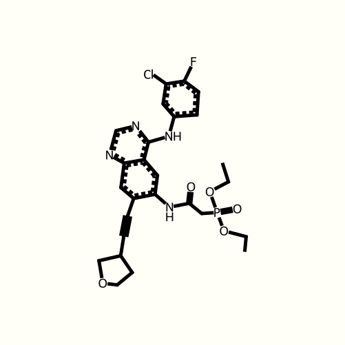 CCOP(=O)(CC(=O)Nc1cc2c(Nc3ccc(F)c(Cl)c3)ncnc2cc1C#CC1CCOC1)OCC